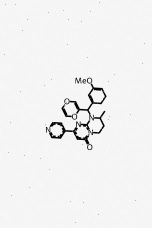 COC1=CCCC(C(C2=COC=CO2)N2c3nc(-c4ccncc4)cc(=O)n3CCC2C)=C1